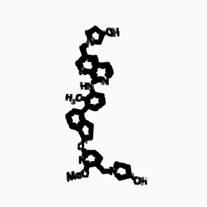 COc1nc(O[C@@H]2CCc3c(-c4cccc(Nc5nccc6cc(CN7CC[C@@H](O)C7)cnc56)c4C)cccc32)ccc1CN1CC[C@@H](O)C1